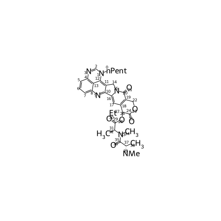 CCCCCN1C=Nc2cccc3nc4c(c1c23)Cn1c-4cc2c(c1=O)COC(=O)[C@@]2(CC)OC(=O)[C@H](C)N(C)C(=O)[C@H](C)NC